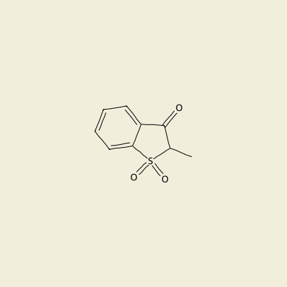 CC1C(=O)c2ccccc2S1(=O)=O